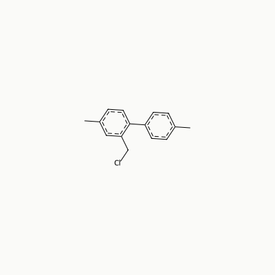 Cc1ccc(-c2ccc(C)cc2CCl)cc1